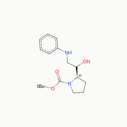 CC(C)(C)OC(=O)N1CCC[C@@H]1C(O)CNc1ccccc1